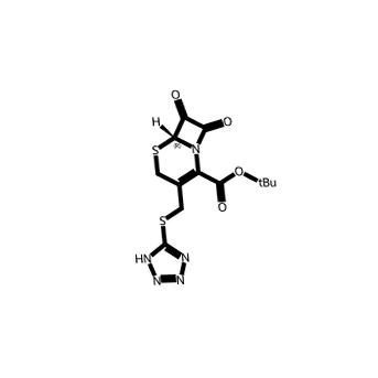 CC(C)(C)OC(=O)C1=C(CSc2nnn[nH]2)CS[C@@H]2C(=O)C(=O)N12